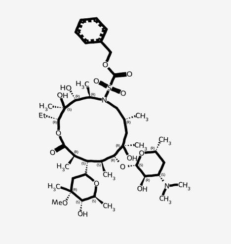 CC[C@H]1OC(=O)[C@H](C)[C@@H](C2C[C@@](C)(OC)[C@@H](O)[C@H](C)O2)[C@H](C)[C@@H](O[C@@H]2O[C@H](C)C[C@H](N(C)C)[C@H]2O)[C@](C)(O)C[C@@H](C)CN(S(=O)(=O)C(=O)OCc2ccccc2)[C@H](C)[C@@H](O)[C@]1(C)O